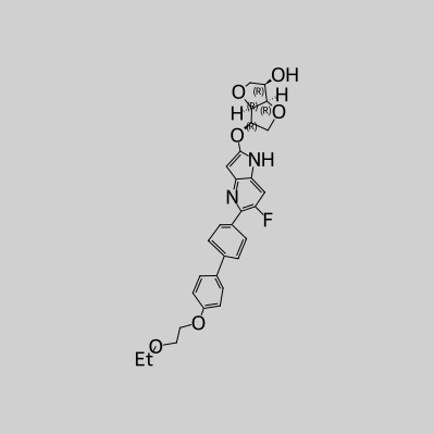 CCOCCOc1ccc(-c2ccc(-c3nc4cc(O[C@@H]5CO[C@H]6[C@@H]5OC[C@H]6O)[nH]c4cc3F)cc2)cc1